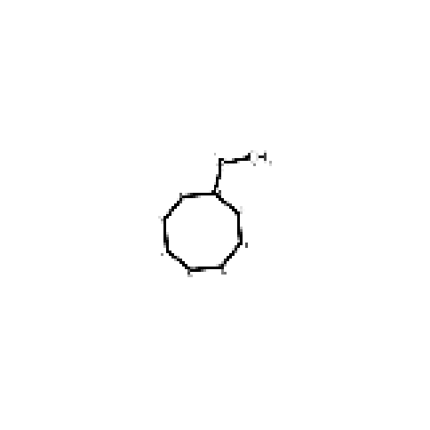 C[P]C1CCCCCCC1